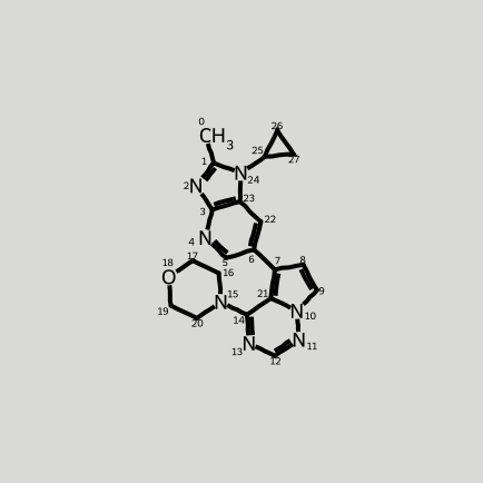 Cc1nc2ncc(-c3ccn4ncnc(N5CCOCC5)c34)cc2n1C1CC1